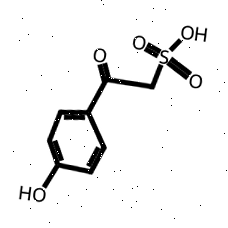 O=C(CS(=O)(=O)O)c1ccc(O)cc1